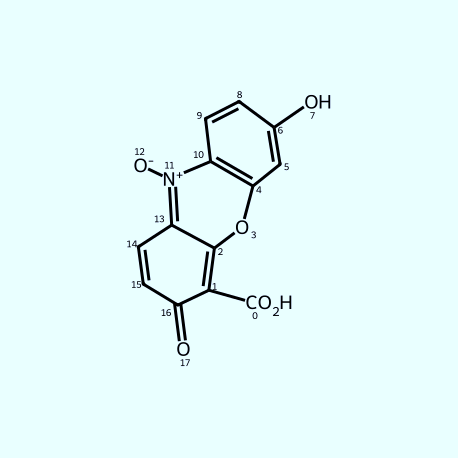 O=C(O)c1c2oc3cc(O)ccc3[n+]([O-])c-2ccc1=O